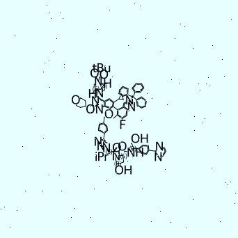 Cc1c(F)cc2nn(C(c3ccccc3)(c3ccccc3)c3ccccc3)cc2c1-c1c(C2CC2)cc2c(N3C[C@@H]4C[C@H]3CN4C(=O)OC(C)(C)C)nc(OC3CCOCC3)nc2c1OCc1ccc(-c2cn([C@H](C(=O)N3C[C@H](O)C[C@H]3C(=O)N[C@@H](CO)c3ccc(-c4ncccn4)cc3)C(C)C)nn2)cc1